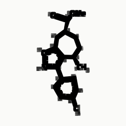 COC(=O)[C@H]1CC[C@@H](C)c2c(-c3ccc(Cl)cc3)noc2C1